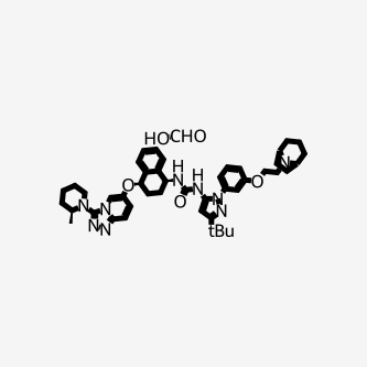 C[C@H]1CCCCN1c1nnc2ccc(O[C@@H]3CC[C@H](NC(=O)Nc4cc(C(C)(C)C)nn4-c4cccc(OCCN5C6CCCC5CC6)c4)c4ccccc43)cn12.O=CO